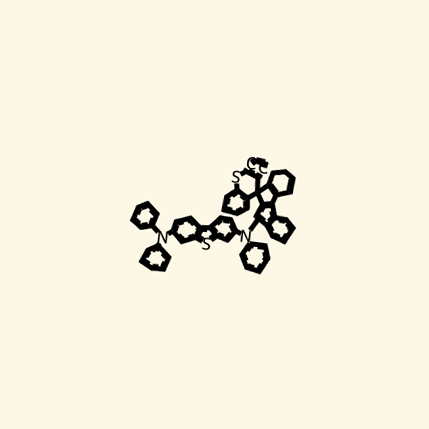 C1=CC2=C(CC1)C1(c3ccccc3Sc3ccccc31)c1cc(N(c3ccccc3)c3ccc4c(c3)sc3cc(N(c5ccccc5)c5ccccc5)ccc34)c3ccccc3c12